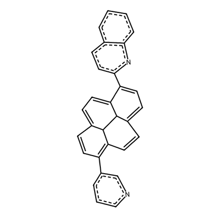 C1=CC2=C(c3cccnc3)C=CC3=CC=C4C(c5ccc6ccccc6n5)=CC=C1C4C32